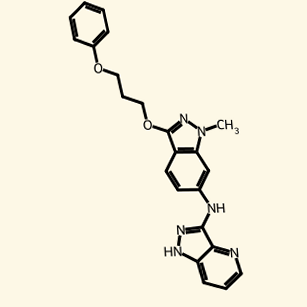 Cn1nc(OCCCOc2ccccc2)c2ccc(Nc3n[nH]c4cccnc34)cc21